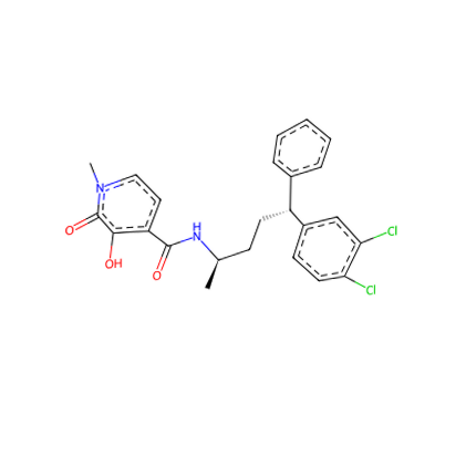 C[C@H](CC[C@H](c1ccccc1)c1ccc(Cl)c(Cl)c1)NC(=O)c1ccn(C)c(=O)c1O